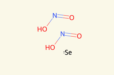 O=NO.O=NO.[Se]